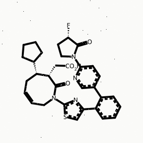 O=C(O)C[C@@H]1C(=O)N(c2nc(-c3ccccc3-c3ccc(N4CC[C@H](F)C4=O)nc3)cs2)CC=CC[C@@H]1C1CCCC1